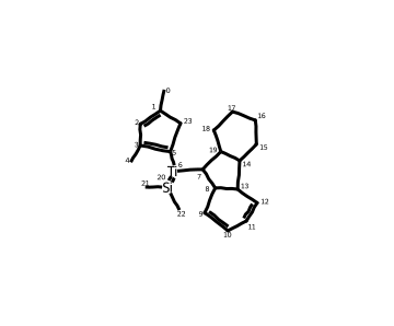 CC1=CC(C)=[C]([Ti]([CH]2C3C=CC=CC3C3CCCCC32)=[Si](C)C)C1